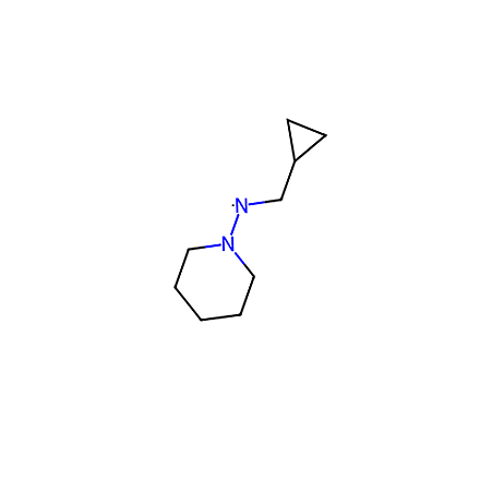 C1CCN([N]CC2CC2)CC1